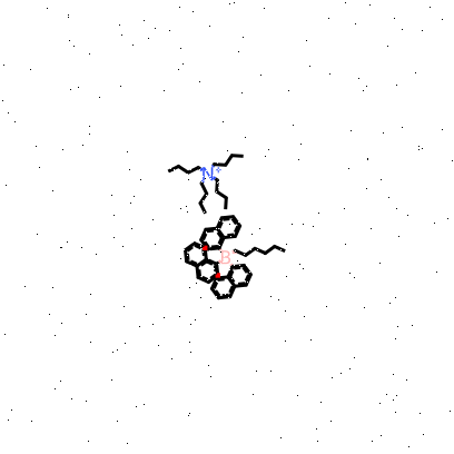 CCCCCC[B-](c1cccc2ccccc12)(c1cccc2ccccc12)c1cccc2ccccc12.CCCC[N+](CCCC)(CCCC)CCCC